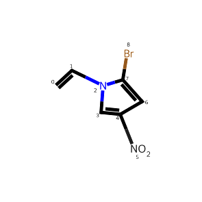 C=Cn1cc([N+](=O)[O-])cc1Br